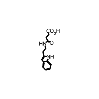 O=C(O)CCC(=O)NCCc1cc2ccccc2[nH]1